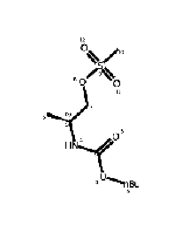 CCCCOC(=O)N[C@@H](C)COS(C)(=O)=O